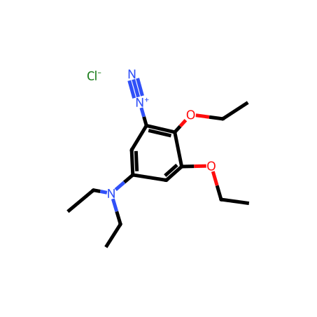 CCOc1cc(N(CC)CC)cc([N+]#N)c1OCC.[Cl-]